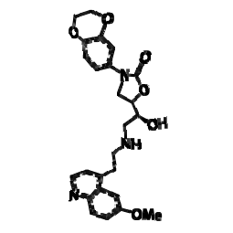 COc1ccc2nccc(CCNC[C@H](O)C3CN(c4ccc5c(c4)OCCO5)C(=O)O3)c2c1